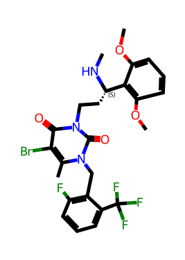 CN[C@@H](CCn1c(=O)c(Br)c(C)n(Cc2c(F)cccc2C(F)(F)F)c1=O)c1c(OC)cccc1OC